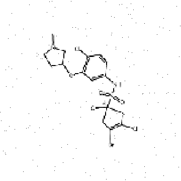 CN1CCC(Oc2cc(NS(=O)(=O)[C@@]3(Cl)CC(Br)=C(Cl)S3)ccc2Cl)C1